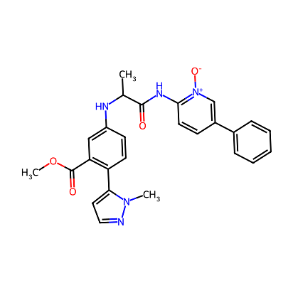 COC(=O)c1cc(NC(C)C(=O)Nc2ccc(-c3ccccc3)c[n+]2[O-])ccc1-c1ccnn1C